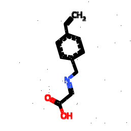 C=Cc1ccc(CN=CC(=O)O)cc1